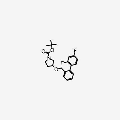 CC(C)(C)OC(=O)N1CCC(OCc2ccccc2-c2ccc(F)cc2F)C1